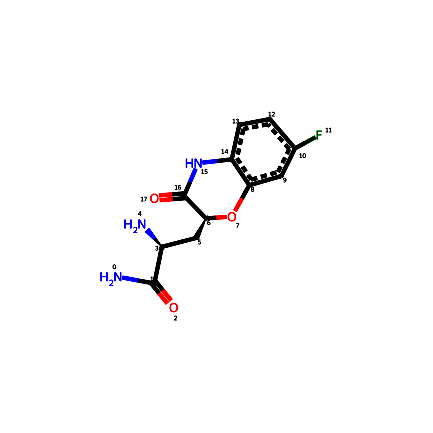 NC(=O)[C@@H](N)C[C@@H]1Oc2cc(F)ccc2NC1=O